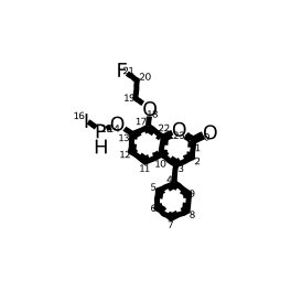 O=c1cc(-c2ccccc2)c2ccc(OPI)c(OCCF)c2o1